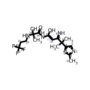 Cc1ncc(C(C)(C)C(=N)/C=C(\O)NC(=O)C(C)(C)NCCC(F)(F)F)s1